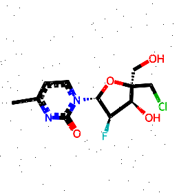 Cc1ccn([C@@H]2O[C@@](CO)(CCl)[C@@H](O)[C@H]2F)c(=O)n1